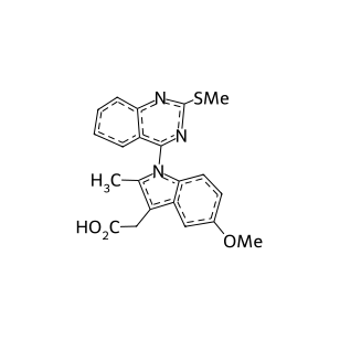 COc1ccc2c(c1)c(CC(=O)O)c(C)n2-c1nc(SC)nc2ccccc12